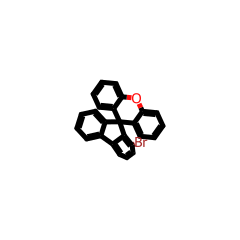 Brc1cccc2c1C1(c3ccccc3Oc3ccccc31)c1ccccc1-2